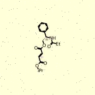 CCC(=O)N[C@H](COC(=O)/C=C/C(=O)OC(C)C)c1ccccc1